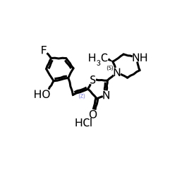 C[C@H]1CNCCN1C1=NC(=O)/C(=C/c2ccc(F)cc2O)S1.Cl